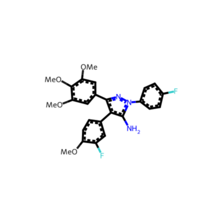 COc1ccc(-c2c(-c3cc(OC)c(OC)c(OC)c3)nn(-c3ccc(F)cc3)c2N)cc1F